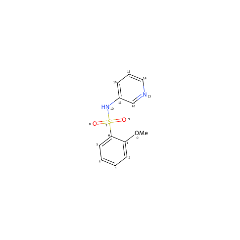 COc1ccccc1S(=O)(=O)Nc1[c]nccc1